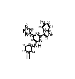 Cn1nnc(-c2cc(NC3CCCNC3)nc(-c3cnc4ccc(F)cn34)n2)n1